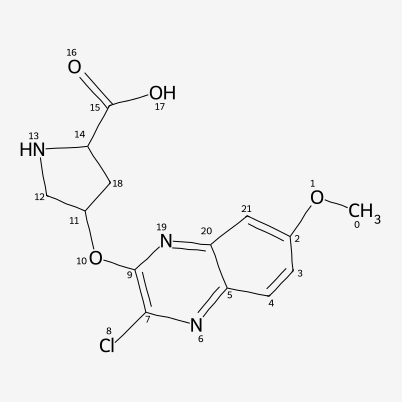 COc1ccc2nc(Cl)c(OC3CNC(C(=O)O)C3)nc2c1